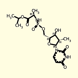 CC(C)OC(=O)[C@@H](C)N[PH](=O)OC[C@H]1O[C@@H](n2ccc(=O)[nH]c2=O)[C@@H](C)[C@@H]1O